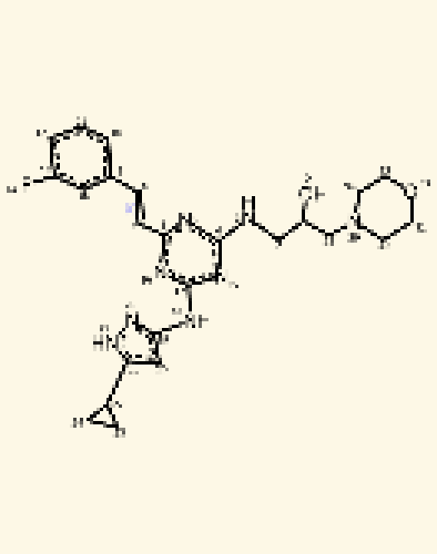 OC(CNc1nc(/C=C/c2cccc(F)c2)nc(Nc2cc(C3CC3)[nH]n2)n1)CN1CCOCC1